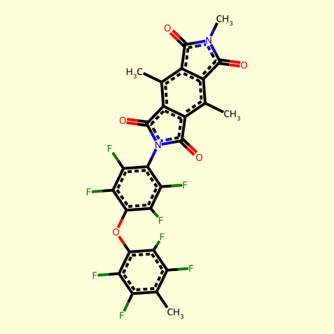 Cc1c(F)c(F)c(Oc2c(F)c(F)c(-n3c(=O)c4c(C)c5c(=O)n(C)c(=O)c5c(C)c4c3=O)c(F)c2F)c(F)c1F